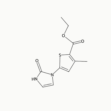 CCOC(=O)c1sc(-n2cc[nH]c2=O)cc1C